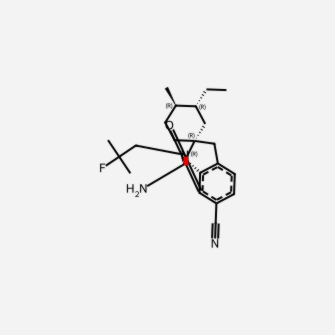 CC[C@@H]1C[C@]2(CC[C@H]1C)Cc1ccc(C#N)cc1[C@]21N=C(N)N(CC(C)(C)F)C1=O